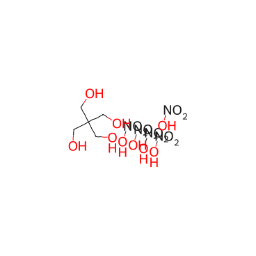 O=[N+]([O-])O.O=[N+]([O-])O.O=[N+]([O-])O.O=[N+]([O-])O.O=[N+]([O-])O.OCC(CO)(CO)CO